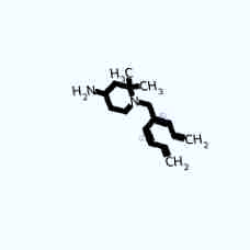 C=C/C=C\C(=C/C=C)CN1CCC(N)CC1(C)C